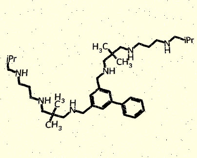 CC(C)CNCCCNCC(C)(C)CNCc1cc(CNCC(C)(C)CNCCCNCC(C)C)cc(-c2ccccc2)c1